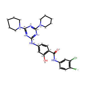 O=C(Nc1ccc(F)c(Cl)c1)c1ccc(Nc2nc(N3CCCCC3)nc(N3CCCCC3)n2)cc1O